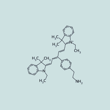 CCN1/C(=C/C=C(/C=C/C2=[N+](CC)c3ccccc3C2(C)C)c2ccc(CCN)cc2)C(C)(C)c2ccccc21